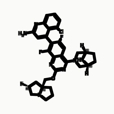 Nc1cc(-c2c(F)cc3c(N4C[C@H]5CC[C@@H](C4)N5)nc(OC[C@@]45CCCN4C[C@H](F)C5)nc3c2F)c2c(Cl)cccc2n1